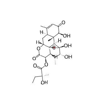 CC[C@](C)(O)C(=O)O[C@H]1C(=O)O[C@@H]2C[C@H]3C(C)=CC(=O)[C@@H](O)[C@]3(C)[C@H]3[C@@]4(O)OC[C@]32[C@@H]1[C@@H](C)[C@H]4O